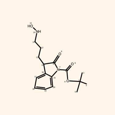 CC(C)(C)OC(=O)N1C(=O)C(CCCNO)c2ccccc21